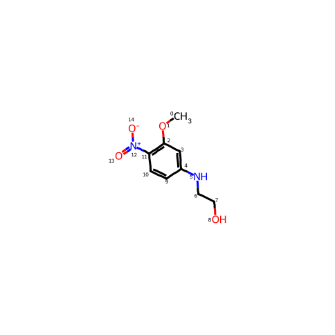 COc1cc(NCCO)ccc1[N+](=O)[O-]